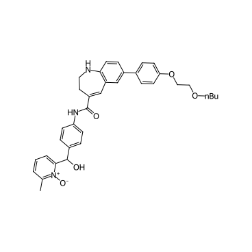 CCCCOCCOc1ccc(-c2ccc3c(c2)C=C(C(=O)Nc2ccc(C(O)c4cccc(C)[n+]4[O-])cc2)CCN3)cc1